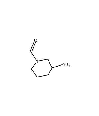 NC1CCCN([C]=O)C1